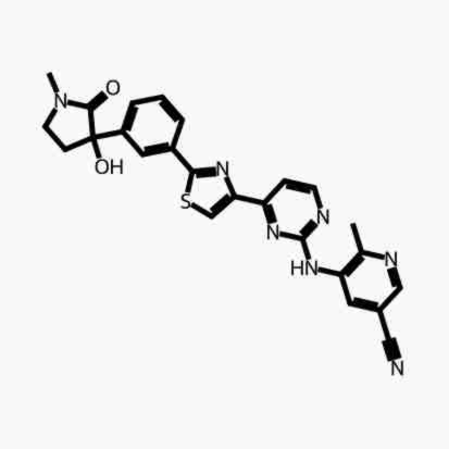 Cc1ncc(C#N)cc1Nc1nccc(-c2csc(-c3cccc(C4(O)CCN(C)C4=O)c3)n2)n1